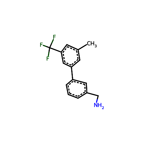 Cc1cc(-c2cccc(CN)c2)cc(C(F)(F)F)c1